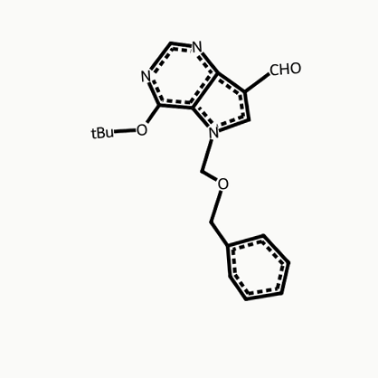 CC(C)(C)Oc1ncnc2c(C=O)cn(COCc3ccccc3)c12